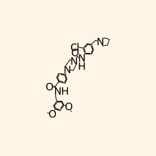 COc1cc(CNC(=O)c2ccc(N3CCN(C(=O)Nc4ccc(CN5CCCC5)cc4Cl)CC3)cc2)cc(OC)c1